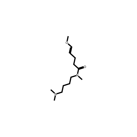 CO/C=C/CCC(=O)N(C)CCCCN(C)C